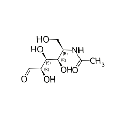 CC(=O)N[C@H](CO)[C@@H](O)[C@H](O)[C@@H](O)C=O